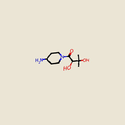 CC(C)(O)[C@@H](O)C(=O)N1CCC(N)CC1